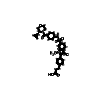 Cn1c(-c2ccc(CCC(=O)O)cc2)c(Cl)c2ccc(S(=O)(=O)NC3CCC(C(=O)N4CCOC[C@@H]4C4CC4)CC3)cc21